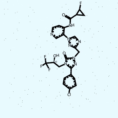 O=C(Nc1ccncc1-n1cnc(Cn2nc(-c3ccc(Cl)cc3)n(C[C@H](O)C(F)(F)F)c2=O)n1)C1CC1F